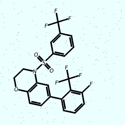 O=S(=O)(c1cccc(C(F)(F)F)c1)N1CCOc2ccc(-c3cccc(F)c3C(F)(F)F)cc21